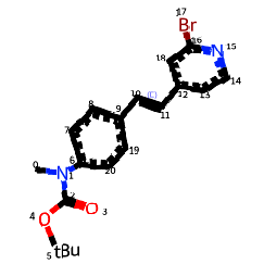 CN(C(=O)OC(C)(C)C)c1ccc(/C=C/c2ccnc(Br)c2)cc1